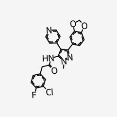 Cn1nc(-c2ccc3c(c2)OCO3)c(-c2ccncc2)c1NC(=O)Cc1ccc(F)c(Cl)c1